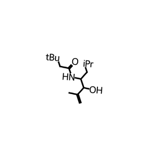 C=C(C)C(O)C(CC(C)C)NC(=O)CC(C)(C)C